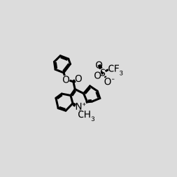 C[n+]1c2ccccc2c(C(=O)Oc2ccccc2)c2ccccc21.O=S(=O)([O-])C(F)(F)F